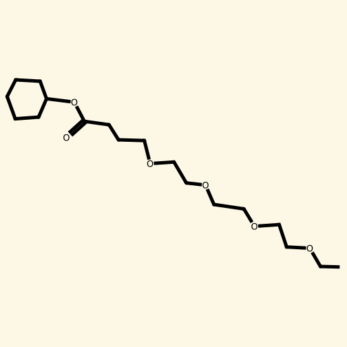 CCOCCOCCOCCOCCCC(=O)OC1CCCCC1